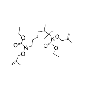 C=C(C)CON(CCCCC(C)C(C)(C)N(OCC(=C)C)C(=O)OCC)C(=O)OCC